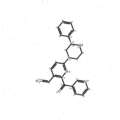 C=Cc1ccc(N2CCN[C@H](c3ccccc3)C2)nc1C(=O)c1cccnc1